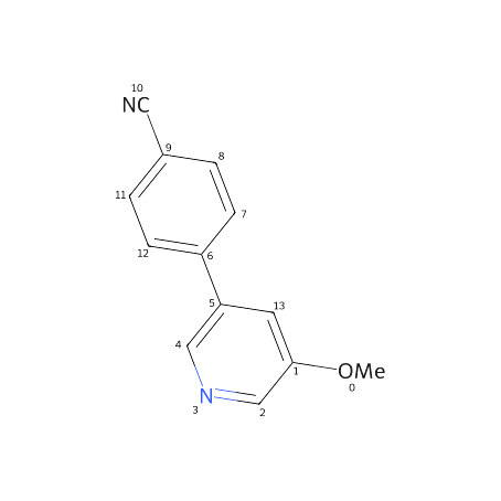 COc1cncc(-c2ccc(C#N)cc2)c1